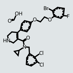 O=C(C1=C(c2ccc(OCCOc3cc(F)ccc3Br)cc2)CCNC1)N(Cc1cccc(Cl)c1Cl)C1CC1.O=CO